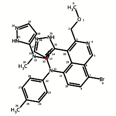 COCc1ncc2c(Br)ccc(N(C(=O)N(C)c3ccn[nH]3)c3ccc(C)cc3)c2c1-c1ccn[nH]1